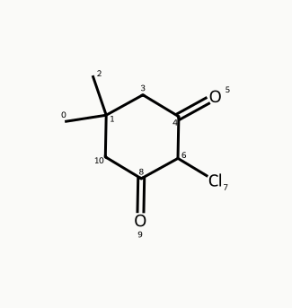 CC1(C)CC(=O)C(Cl)C(=O)C1